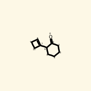 O=C1CCCCC1C1=CCC1